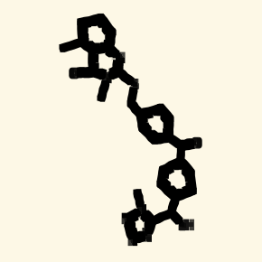 Cc1cccc2nc(SCc3ccc(C(=O)c4ccc(C(S)c5nnnn5C)cc4)cc3)n(C)c(=O)c12